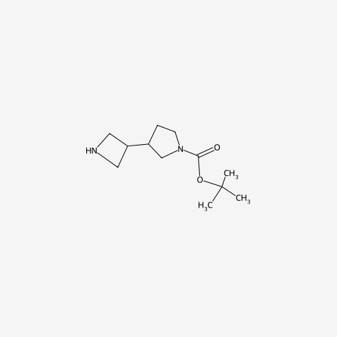 CC(C)(C)OC(=O)N1CCC(C2CNC2)C1